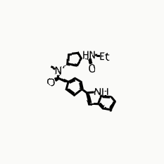 CCNC(=O)[C@H]1CC[C@@H](N(C)C(=O)c2ccc(-c3cc4ccccc4[nH]3)cc2)C1